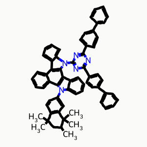 CC1CC(C)(C)c2ccc(-n3c4ccccc4c4c3c3ccccc3c3c5ccccc5n(-c5nc(-c6ccc(-c7ccccc7)cc6)nc(-c6ccc(-c7ccccc7)cc6)n5)c34)cc2C1(C)C